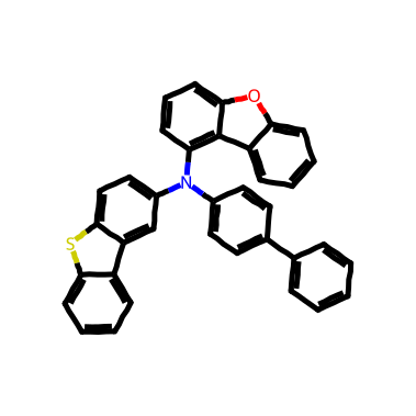 c1ccc(-c2ccc(N(c3ccc4sc5ccccc5c4c3)c3cccc4oc5ccccc5c34)cc2)cc1